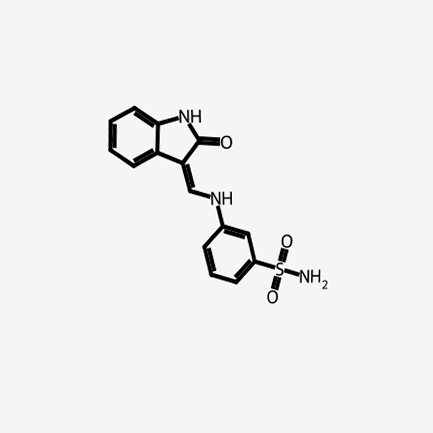 NS(=O)(=O)c1cccc(N/C=C2\C(=O)Nc3ccccc32)c1